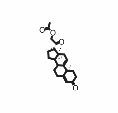 CC(=O)OCC(=O)[C@H]1CCC2C3CCC4=CC(=O)CC[C@]4(C)C3=CC[C@@]21C